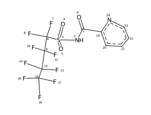 O=C(NS(=O)(=O)C(F)(F)C(F)(F)C(F)(F)C(F)(F)F)c1ccccn1